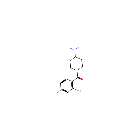 CC(=O)Nc1cc(Br)ccc1C(=O)N1CCC(N(C)C(=O)O)CC1